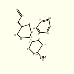 C=CC[C@H]1CC[C@H](C2CCC(O)CC2)CC1.c1ccccc1